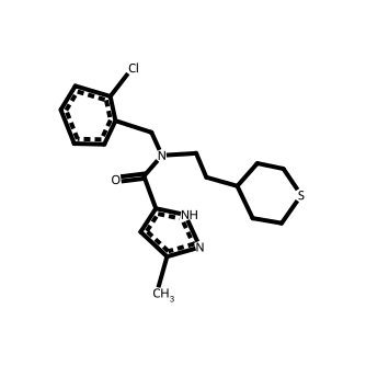 Cc1cc(C(=O)N(CCC2CCSCC2)Cc2ccccc2Cl)[nH]n1